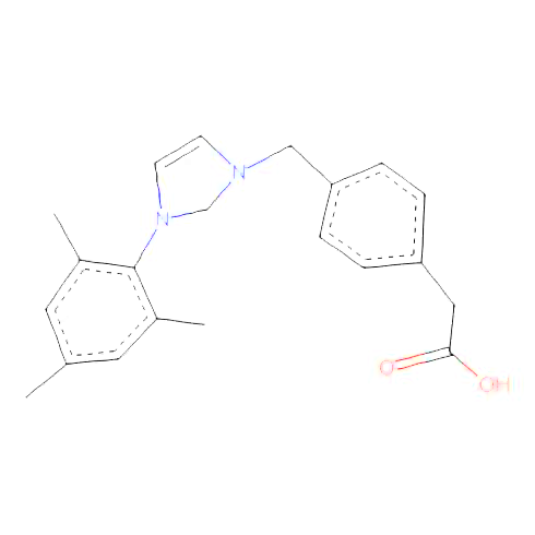 Cc1cc(C)c(N2C=CN(Cc3ccc(CC(=O)O)cc3)C2)c(C)c1